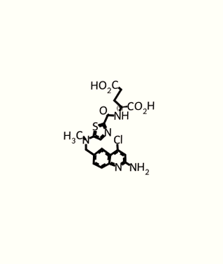 CN(Cc1ccc2nc(N)cc(Cl)c2c1)c1cnc(C(=O)N[C@@H](CCC(=O)O)C(=O)O)s1